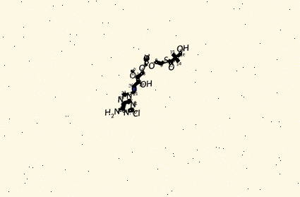 COC(CO[PH](=O)OCCSC(=O)C(C)(C)CO)[C@H](O)/C=C/n1cnc2c(N)nc(Cl)nc21